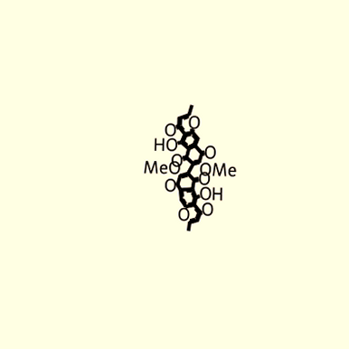 COC1=C(C2=C(OC)C(=O)c3cc4oc(C)cc(=O)c4c(O)c3C2=O)C(=O)c2c(cc3oc(C)cc(=O)c3c2O)C1=O